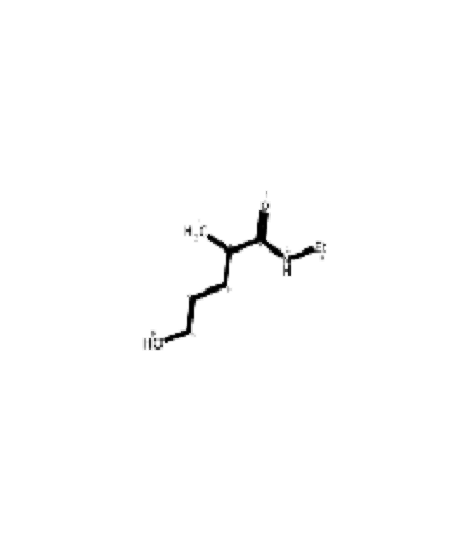 CCNC(=O)C(C)CCCO